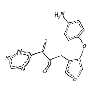 Nc1ccc(Oc2cocc2CC(=O)C(=O)c2nc[nH]n2)cc1